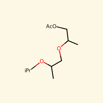 CC(=O)OCC(C)OCC(C)OC(C)C